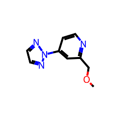 COCc1cc(-n2nccn2)ccn1